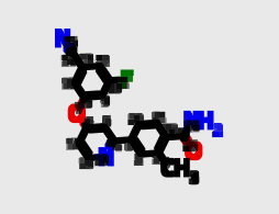 Cc1cc(-c2cc(Oc3cc(F)cc(C#N)c3)ccn2)ccc1C(N)=O